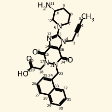 CC#CCn1c(N2CCC[C@@H](N)C2)nc2c(=O)n(CC(=O)O)n(Cc3cccc4ccccc34)c(=O)c21